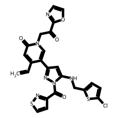 C=Cc1cc(=O)n(CC(=O)c2ncco2)cc1-c1cc(NCc2ccc(Cl)s2)n(C(=O)c2ccsn2)n1